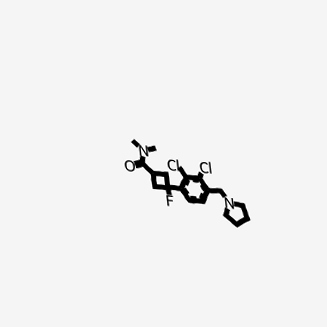 CN(C)C(=O)C1CC(F)(c2ccc(CN3CCCC3)c(Cl)c2Cl)C1